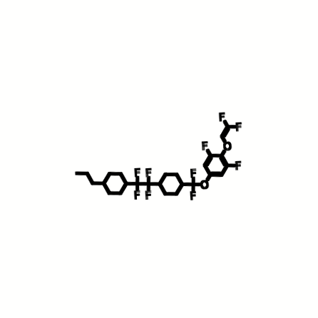 CCCC1CCC(C(F)(F)C(F)(F)C2CCC(C(F)(F)Oc3cc(F)c(OC=C(F)F)c(F)c3)CC2)CC1